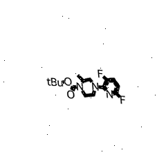 CC1CN(c2nc(F)ccc2F)CCN1C(=O)OC(C)(C)C